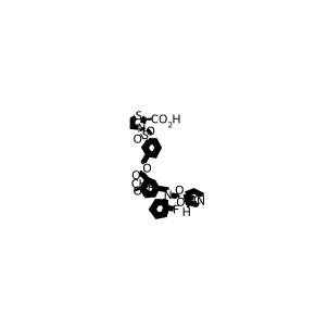 O=C(OCc1cccc(S(=O)(=O)N2CCS[C@H]2C(=O)O)c1)c1cccc(CN(C(=O)O[C@H]2CN3CCC2CC3)c2ccccc2F)c1.O=CO